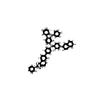 c1ccc(-c2nc3ccc4cc(-c5ccc(N(c6ccc(-c7ccc8ccccc8c7)cc6)c6ccc7c8ccccc8n(-c8ccccc8)c7c6)cc5)ccc4c3o2)cc1